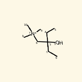 CCC(O)(CC)C[N+](C)(C)C